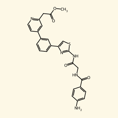 COC(=O)Cc1cc(-c2cccc(-c3csc(NC(=O)CNC(=O)c4ccc(N)cc4)n3)c2)ccn1